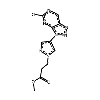 COC(=O)CCn1cc(-n2nnc3cnc(Cl)nc32)cn1